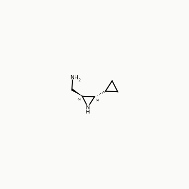 NC[C@@H]1N[C@H]1C1CC1